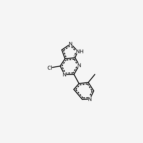 Cc1cnccc1-c1nc(Cl)c2cn[nH]c2n1